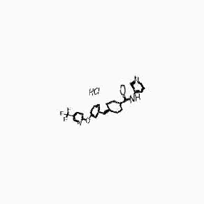 Cl.O=C(Nc1cccnc1)C1CCC(=Cc2cccc(Oc3ccc(C(F)(F)F)cn3)c2)CC1